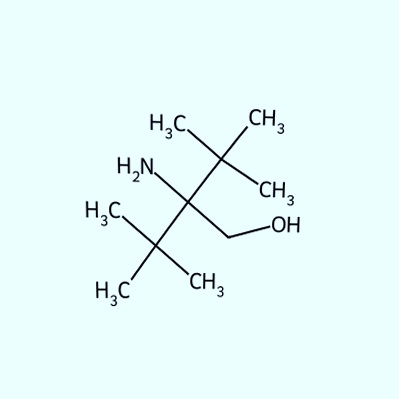 CC(C)(C)C(N)(CO)C(C)(C)C